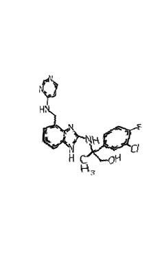 CC(CO)(Nc1nc2c(CNc3ccncn3)cccc2[nH]1)c1ccc(F)c(Cl)c1